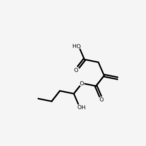 C=C(CC(=O)O)C(=O)OC(O)CCC